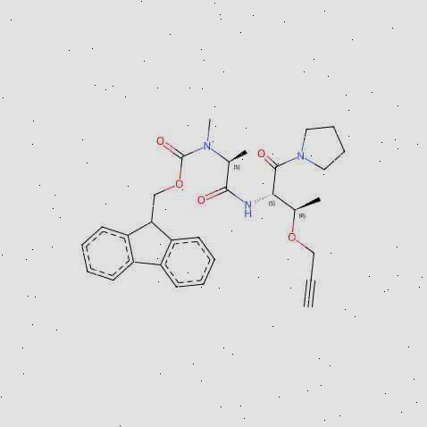 C#CCO[C@H](C)[C@H](NC(=O)[C@H](C)N(C)C(=O)OCC1c2ccccc2-c2ccccc21)C(=O)N1CCCC1